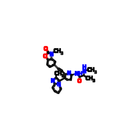 CNC(C)C(=O)Nc1ccc(-c2c(C)nc3ccccn23)c(C#Cc2ccc3oc(=O)n(C)c3c2)n1